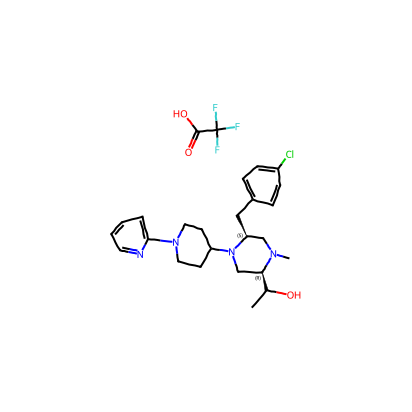 CC(O)[C@H]1CN(C2CCN(c3ccccn3)CC2)[C@@H](Cc2ccc(Cl)cc2)CN1C.O=C(O)C(F)(F)F